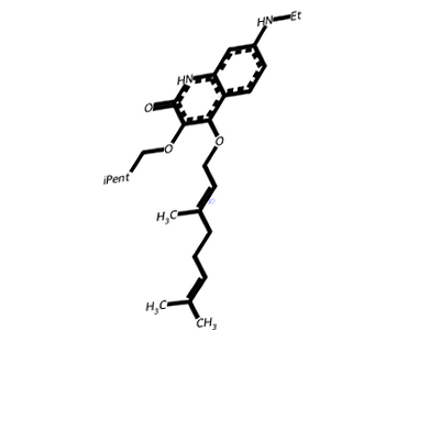 CCCC(C)COc1c(OC/C=C(\C)CCC=C(C)C)c2ccc(NCC)cc2[nH]c1=O